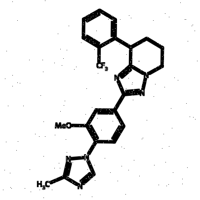 COc1cc(-c2nc3n(n2)CCCC3c2ccccc2C(F)(F)F)ccc1-n1cnc(C)n1